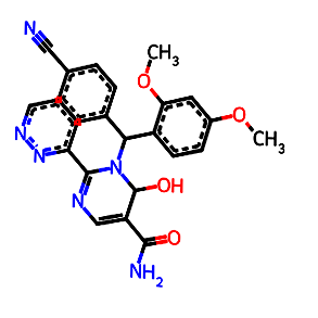 COc1ccc(C(c2ccc(C#N)cc2)N2C(c3cccnn3)=NC=C(C(N)=O)C2O)c(OC)c1